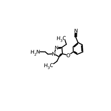 CCc1nn(CCN)c(CC)c1Oc1cccc(C#N)c1